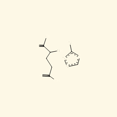 NC(CCC(=O)O)C(=O)O.Nc1nncs1